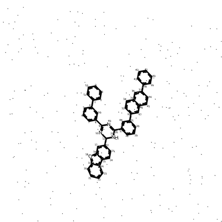 c1ccc(-c2cccc(C3=NC(c4ccc5c(c4)oc4ccccc45)NC(c4cccc(-c5ccc6cc(-c7ccccc7)ccc6c5)c4)=N3)c2)cc1